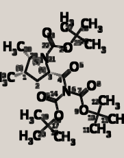 C[C@H]1C[C@@H](C(=O)N(C(=O)OC(C)(C)C)C(=O)OC(C)(C)C)N(C(=O)OC(C)(C)C)[C@H]1C